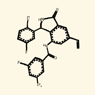 C=Cc1cc(NC(=O)c2cc(F)cc(C(F)(F)F)c2)c2c(c1)C(=O)NC2c1cc(F)ccc1Cl